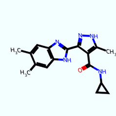 Cc1cc2nc(-c3n[nH]c(C)c3C(=O)NC3CC3)[nH]c2cc1C